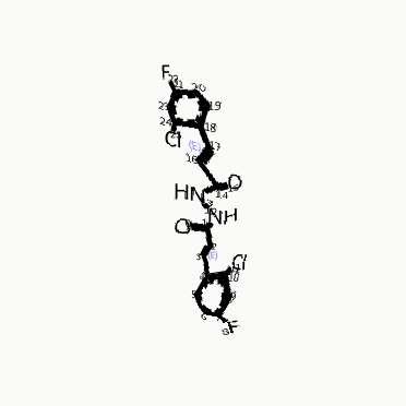 O=C(/C=C/c1ccc(F)cc1Cl)NNC(=O)/C=C/c1ccc(F)cc1Cl